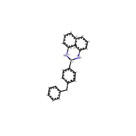 c1ccc(Cc2ccc(B3Nc4cccc5cccc(c45)N3)cc2)cc1